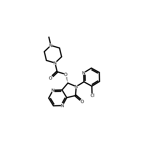 CN1CCN(C(=O)O[C@H]2c3nccnc3C(=O)N2c2ncccc2Cl)CC1